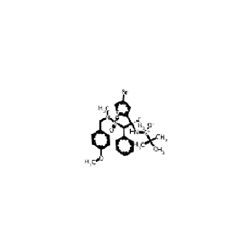 COc1ccc(CN(C)S(=O)(=O)[C@H](c2ccccc2)[C@](C)(N[S@+]([O-])C(C)(C)C)c2cc(Br)cs2)cc1